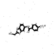 O=C(O)c1ccc(C(=O)Nc2ccc3sc(CO)nc3c2)cc1